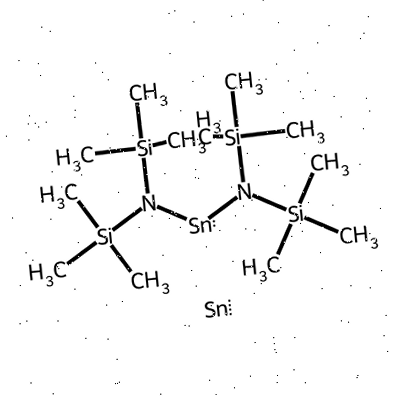 C[Si](C)(C)[N]([Sn][N]([Si](C)(C)C)[Si](C)(C)C)[Si](C)(C)C.[Sn]